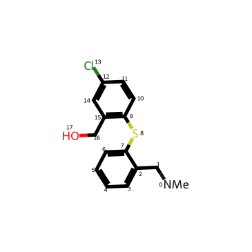 CNCc1ccccc1Sc1ccc(Cl)cc1CO